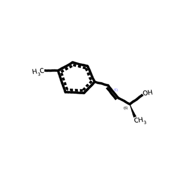 Cc1ccc(/C=C/[C@H](C)O)cc1